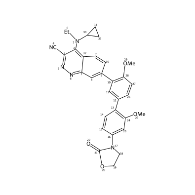 CCN(c1c(C#N)nnc2cc(-c3cc(-c4ccc(N5CCOC5=O)cc4OC)ccc3OC)ccc12)C1CC1